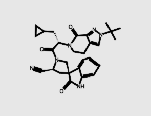 CC(C)(C)n1cc2c(n1)C(=O)N([C@@H](CC1CC1)C(=O)N1C[C@]3(C[C@H]1C#N)C(=O)Nc1ccccc13)CC2